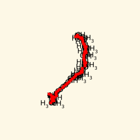 COc1cc2nc(N3CCCCC3)nc(NC3CCN(CCOCCOCCOCCOCCOCCNC(=O)CCNC(=O)c4nc(NC(=O)c5cc(NC(=O)CCNC(=O)c6nc(NC(=O)CCCNC(=O)c7cc(NC(=O)c8nc(NC(=O)CCNC(=O)c9cc(NC(=O)c%10nccn%10C)cn9C)cn8C)cn7C)cn6C)cn5C)cn4C)CC3)c2cc1OC